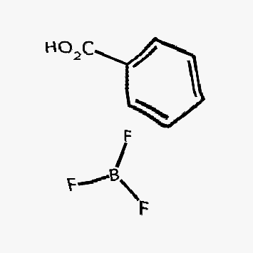 FB(F)F.O=C(O)c1ccccc1